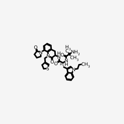 CCCn1cc(C[C@@H](NC(=O)C(C)(C)N)C(=O)NC2Cc3cccc(N4CCCC4=O)c3N(CC3=CSCC3)C2=O)c2ccccc21